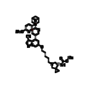 COc1ccc(CN2C3CC2CN(c2ccc(-c4cc(OCCCCCN5C[C@H](NC(=O)OC(C)(C)C)C6(CC6)C5)cn5ncc(C#N)c45)cn2)C3)cn1